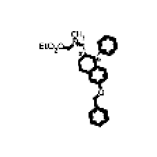 CCOC(=O)CN(C)C[C@H]1CCc2cc(OCc3ccccc3)ccc2[C@H]1c1ccccc1